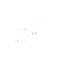 O=C(O)CONC(C[N+](=O)[O-])c1ccc2c(c1)OCO2